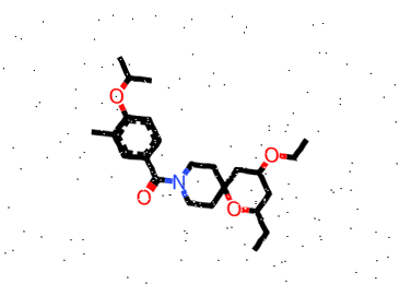 CCOC1CC(CC)OC2(CCN(C(=O)c3ccc(OC(C)C)c(C)c3)CC2)C1